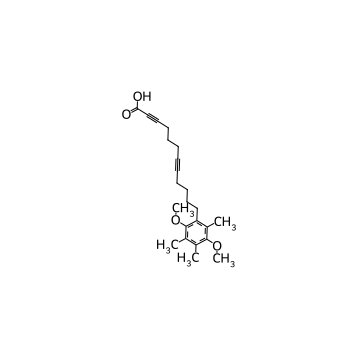 COc1c(C)c(C)c(OC)c(CCCCC#CCCCC#CC(=O)O)c1C